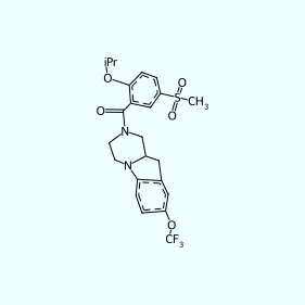 CC(C)Oc1ccc(S(C)(=O)=O)cc1C(=O)N1CCN2c3ccc(OC(F)(F)F)cc3CC2C1